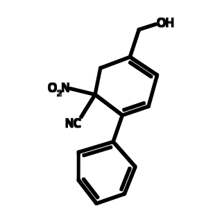 N#CC1([N+](=O)[O-])CC(CO)=CC=C1c1ccccc1